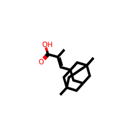 C/C(=C\C12CC3CC(C)(CC(C)(C3)C1)C2)C(=O)O